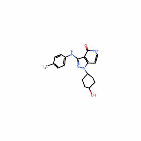 O=c1[nH]ccc2c1c(Nc1ccc(C(F)(F)F)cc1)nn2C1CCC(O)CC1